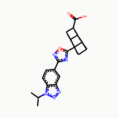 CC(C)n1nnc2cc(-c3noc(C45C6C7C4C4C5C6C74C(=O)O)n3)ccc21